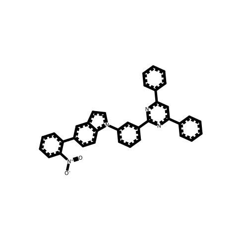 O=[N+]([O-])c1ccccc1-c1ccc2c(ccn2-c2cccc(-c3nc(-c4ccccc4)cc(-c4ccccc4)n3)c2)c1